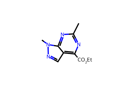 CCOC(=O)c1nc(C)nc2c1cnn2C